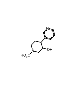 O=C(O)N1CCC(c2cccnc2)C(O)C1